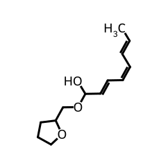 CC=C/C=C\C=C\C(O)OCC1CCCO1